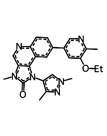 CCOc1cc(-c2ccc3ncc4c(c3c2)n(-c2cn(C)nc2C)c(=O)n4C)cnc1C